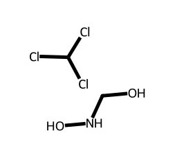 ClC(Cl)Cl.OCNO